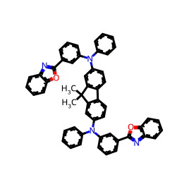 CC1(C)c2cc(N(c3ccccc3)c3cccc(-c4nc5ccccc5o4)c3)ccc2-c2ccc(N(c3ccccc3)c3cccc(-c4nc5ccccc5o4)c3)cc21